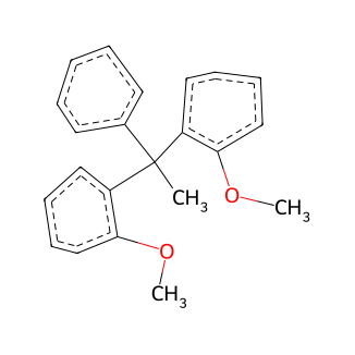 COc1ccccc1C(C)(c1ccccc1)c1ccccc1OC